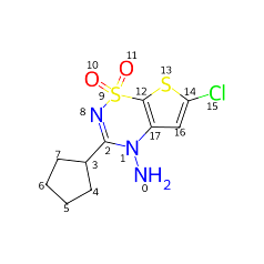 NN1C(C2CCCC2)=NS(=O)(=O)c2sc(Cl)cc21